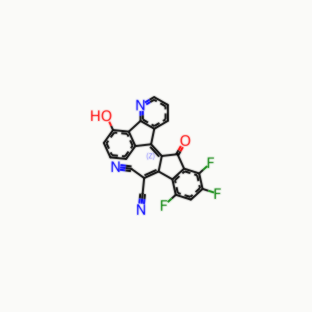 N#CC(C#N)=C1/C(=C2/c3cccnc3-c3c(O)cccc32)C(=O)c2c(F)c(F)cc(F)c21